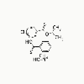 C.C.C#N.CC(C)OC(=S)c1ccccc1.OC(=S)c1ccccc1